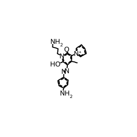 Cc1c(/N=N/c2ccc(N)cc2)c(O)n(CCCN)c(=O)c1-[n+]1ccccc1